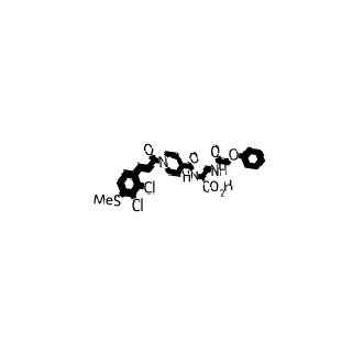 CSc1ccc(/C=C/C(=O)N2CCC(C(=O)N[C@@H](CNC(=O)COc3ccccc3)C(=O)O)CC2)c(Cl)c1Cl